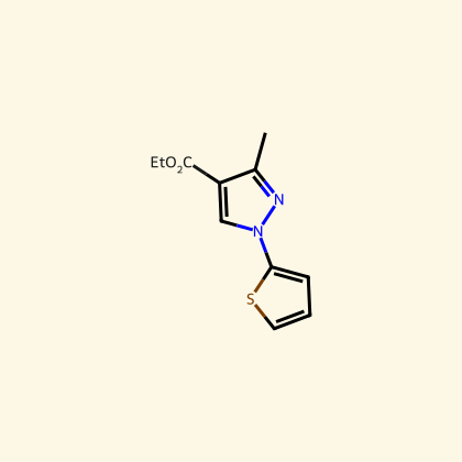 CCOC(=O)c1cn(-c2cccs2)nc1C